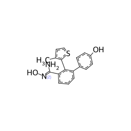 Cc1ccsc1-c1c(/C(N)=N/O)cccc1-c1ccc(O)cc1